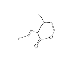 CC1C=COC(=O)C1C=CI